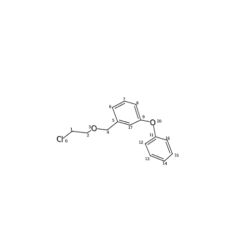 ClCCOCc1cccc(Oc2ccccc2)c1